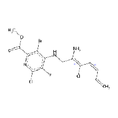 C=C/C=C\C(Cl)=C(/N)CNc1c(F)c(Cl)nc(C(=O)OC)c1Br